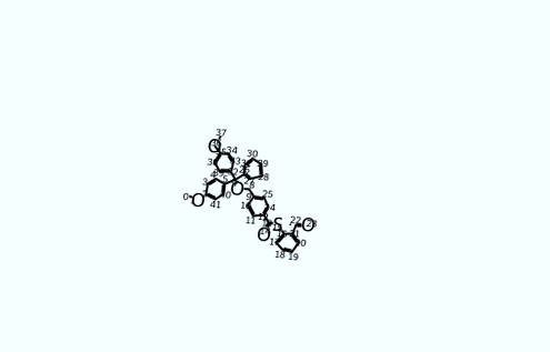 COc1ccc(C(OCc2ccc(C(=O)Sc3ccccc3[C]=O)cc2)(c2ccccc2)c2ccc(OC)cc2)cc1